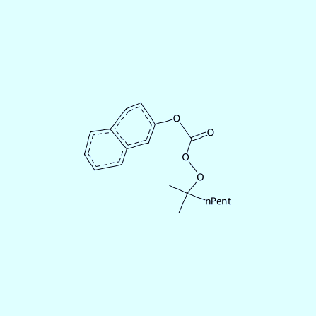 CCCCCC(C)(C)OOC(=O)Oc1ccc2ccccc2c1